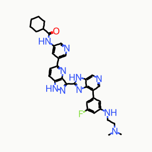 CN(C)CCNc1cc(F)cc(-c2cncc3[nH]c(-c4n[nH]c5ccc(-c6cncc(NC(=O)C7CCCCC7)c6)nc45)nc23)c1